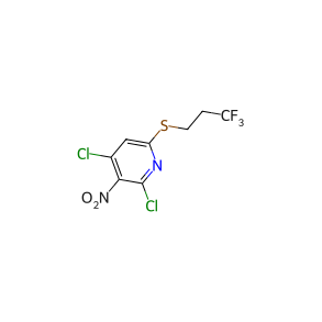 O=[N+]([O-])c1c(Cl)cc(SCCC(F)(F)F)nc1Cl